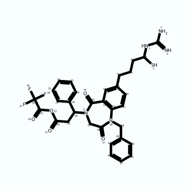 N=C(N)NC(S)CCCc1ccc2c(c1)C(=O)N(C(CC(=O)OC(=O)C(F)(F)F)c1ccccc1)CC(=O)N2Cc1ccccc1